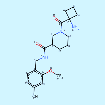 N#Cc1ccc(CNC(=O)C2CCCN(C(=O)C3(N)CCC3)C2)c(OC(F)(F)F)c1